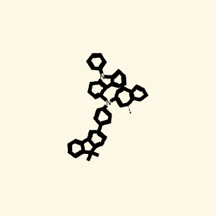 C[C@@H]1C=C(N(C2=CCCc3c2c2ccccc2n3-c2ccccc2)c2ccc(-c3ccc4c(c3)-c3ccccc3C4(C)C)cc2)C=CC2=C1CCC=C2